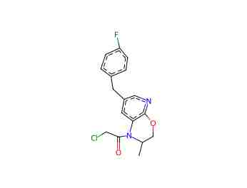 CC1COc2ncc(Cc3ccc(F)cc3)cc2N1C(=O)CCl